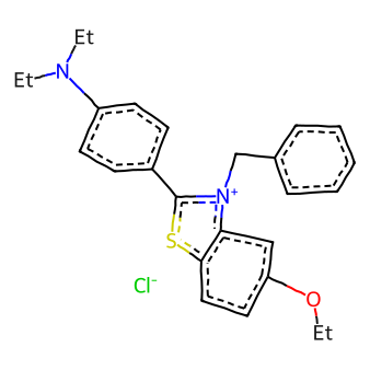 CCOc1ccc2sc(-c3ccc(N(CC)CC)cc3)[n+](Cc3ccccc3)c2c1.[Cl-]